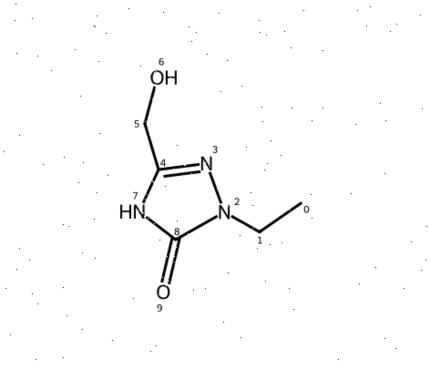 CCn1nc(CO)[nH]c1=O